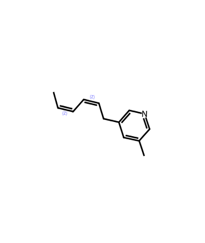 C/C=C\C=C/Cc1cncc(C)c1